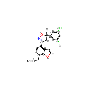 CC(=O)NCc1ccc(C2=NOC(c3cc(Cl)cc(Cl)c3)(C(F)(F)F)C2)c2ccoc12